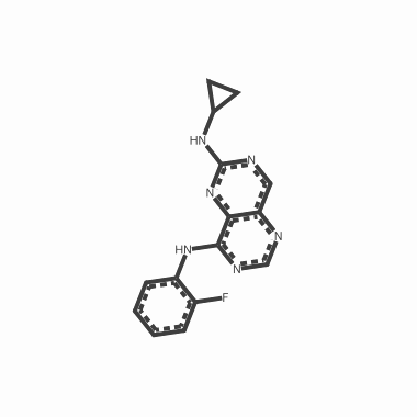 Fc1ccccc1Nc1ncnc2cnc(NC3CC3)nc12